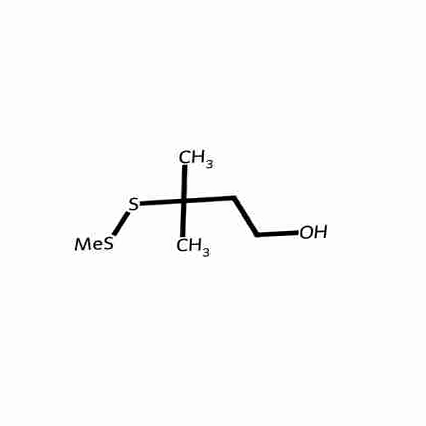 CSSC(C)(C)CCO